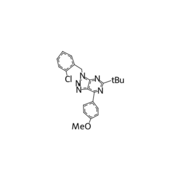 COc1ccc(-c2nc(C(C)(C)C)nc3c2nnn3Cc2ccccc2Cl)cc1